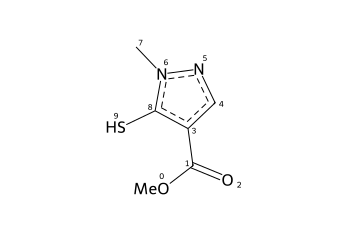 COC(=O)c1cnn(C)c1S